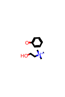 C[N+](C)(C)CCO.[O-]c1ccccc1